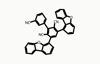 N#Cc1cccc(-c2c(C#N)c(-c3cccc4c3oc3ccccc34)cc(-c3cccc4oc5ccccc5c34)c2C#N)c1